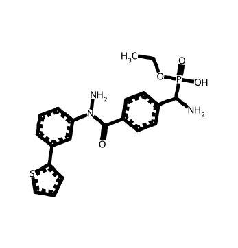 CCOP(=O)(O)C(N)c1ccc(C(=O)N(N)c2cccc(-c3cccs3)c2)cc1